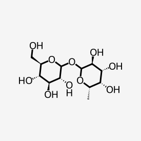 C[C@@H]1OC(OC2O[C@H](CO)[C@@H](O)[C@H](O)[C@H]2O)[C@@H](O)[C@H](O)[C@@H]1O